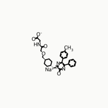 Cc1ccc(-c2nn(C[C@H]3CC[C@H](COCC(=O)NCC(=O)[O-])CC3)c(=O)nc2-c2ccccc2)cc1.[Na+]